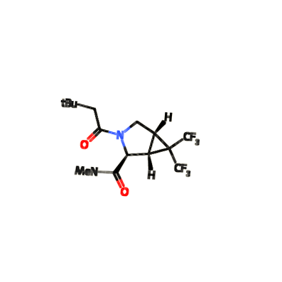 CNC(=O)[C@@H]1[C@@H]2[C@H](CN1C(=O)CC(C)(C)C)C2(C(F)(F)F)C(F)(F)F